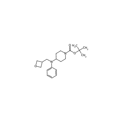 CC(C)(C)OC(=O)N1CCC(N(CC2COC2)c2ccccc2)CC1